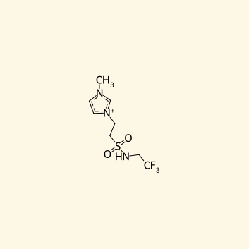 Cn1cc[n+](CCS(=O)(=O)NCC(F)(F)F)c1